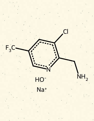 NCc1ncc(C(F)(F)F)cc1Cl.[Na+].[OH-]